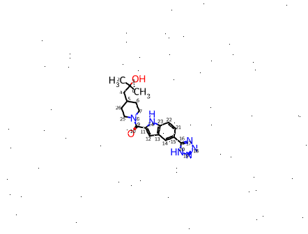 CC(C)(O)CC1CCN(C(=O)c2cc3cc(-c4nnn[nH]4)ccc3[nH]2)CC1